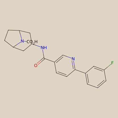 O=C(NC1CC2CCC(C1)N2C(=O)O)c1ccc(-c2cccc(F)c2)nc1